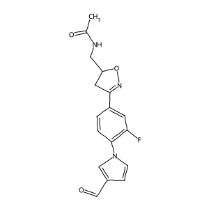 CC(=O)NCC1CC(c2ccc(-n3ccc(C=O)c3)c(F)c2)=NO1